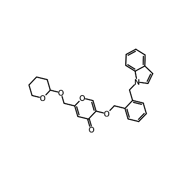 O=c1cc(COC2CCCCO2)occ1OCc1ccccc1Cn1ccc2ccccc21